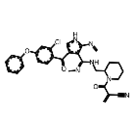 C=Nc1[nH]cc(C(=O)c2ccc(Oc3ccccc3)cc2Cl)c1/C(=N\C)NCC1CCCCN1C(=O)C(=C)C#N